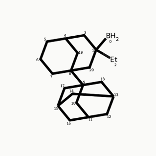 BC1(CC)CC2CCCC(C34CC5CC(CC(C5)C3)C4)(C2)C1